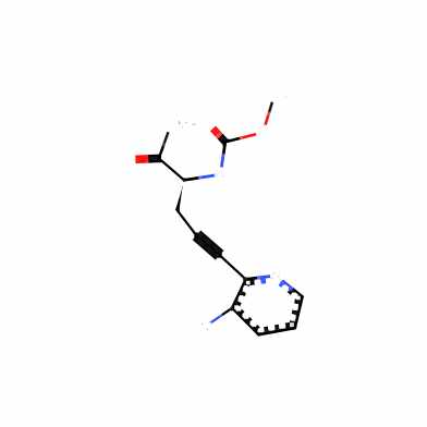 COC(=O)[C@H](CC#Cc1ncccc1N)NC(=O)OC(C)(C)C